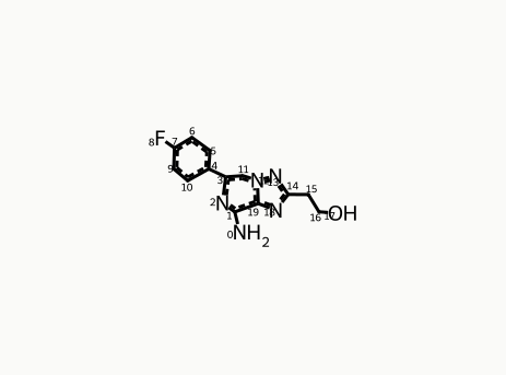 Nc1nc(-c2ccc(F)cc2)cn2nc(CCO)nc12